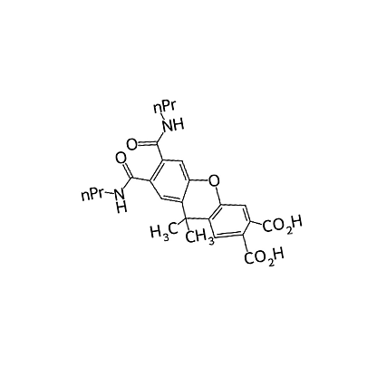 CCCNC(=O)c1cc2c(cc1C(=O)NCCC)C(C)(C)c1cc(C(=O)O)c(C(=O)O)cc1O2